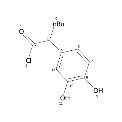 CCCCC(C(=O)Cl)c1ccc(O)c(O)c1